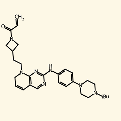 C=CC(=O)N1CC(CCN2CC=Cc3cnc(Nc4ccc(N5CCN(C(C)CC)CC5)cc4)nc32)C1